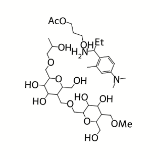 CC(=O)OCCCO.CCC(N)c1ccc(N(C)C)cc1C.COCC1C(CO)OC(COCC2C(CO)OC(COCC(C)O)C(O)C2O)C(O)C1O